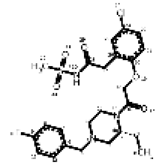 CC[C@@H]1CN(Cc2ccc(F)cc2)CCN1C(=O)COc1ccc(Cl)cc1CC(=O)NS(C)(=O)=O